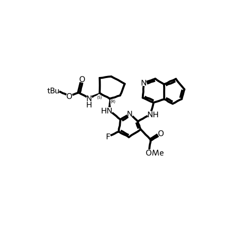 COC(=O)c1cc(F)c(N[C@@H]2CCCC[C@@H]2NC(=O)OC(C)(C)C)nc1Nc1cncc2ccccc12